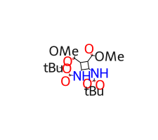 COC(=O)C1C(NC(=O)OC(C)(C)C)C(NC(=O)OC(C)(C)C)C1C(=O)OC